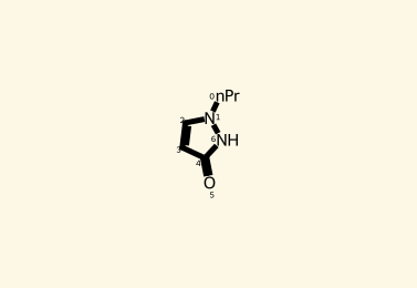 CCCn1ccc(=O)[nH]1